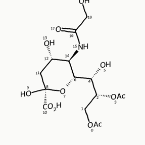 CC(=O)OC[C@@H](OC(C)=O)[C@@H](O)[C@@H]1O[C@](O)(C(=O)O)C[C@H](O)[C@H]1NC(=O)CO